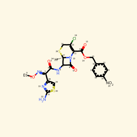 CCO/N=C(/C(=O)NC1C(=O)N2C(C(=O)OCc3ccc([N+](=O)[O-])cc3)=C(Cl)CS[C@H]12)c1csc(N)n1